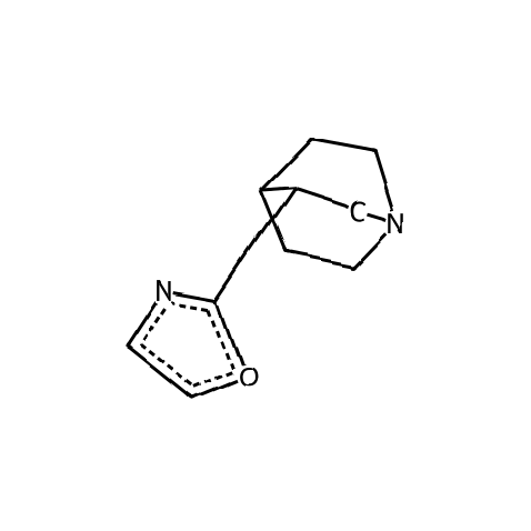 c1coc(C2CN3CCC2CC3)n1